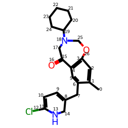 Cc1cc2c(cc1CC1=CC=C(Cl)NC1)C(=O)CN(C1CCCCC1)CO2